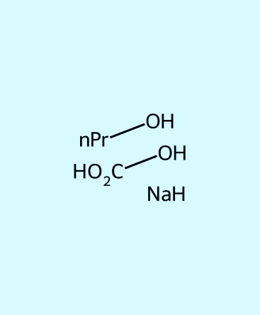 CCCO.O=C(O)O.[NaH]